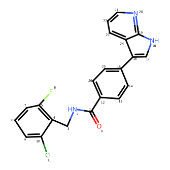 O=C(NCc1c(F)cccc1Cl)c1ccc(-c2c[nH]c3ncccc23)cc1